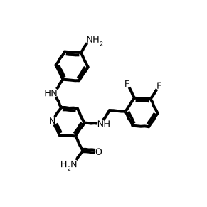 NC(=O)c1cnc(Nc2ccc(N)cc2)cc1NCc1cccc(F)c1F